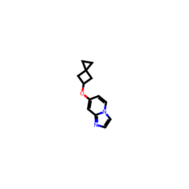 c1cn2ccc(OC3CC4(CC4)C3)cc2n1